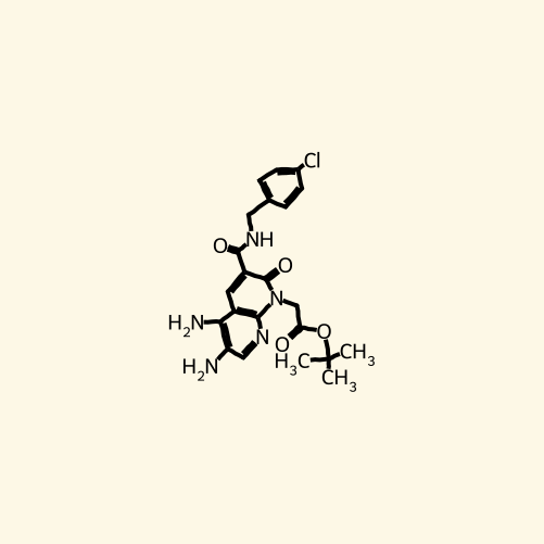 CC(C)(C)OC(=O)Cn1c(=O)c(C(=O)NCc2ccc(Cl)cc2)cc2c(N)c(N)cnc21